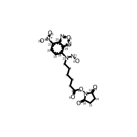 O=NN(CCCCCC(=O)ON1C(=O)CCC1=O)c1ccc([N+](=O)[O-])c2nonc12